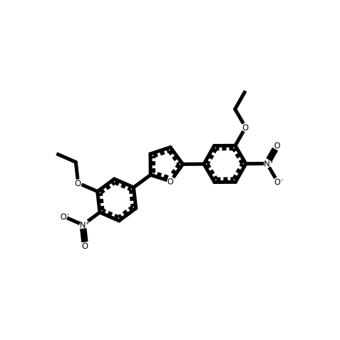 CCOc1cc(-c2ccc(-c3ccc([N+](=O)[O-])c(OCC)c3)o2)ccc1[N+](=O)[O-]